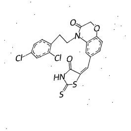 O=C1NC(=S)SC1=Cc1ccc2c(c1)N(CCc1ccc(Cl)cc1Cl)C(=O)CO2